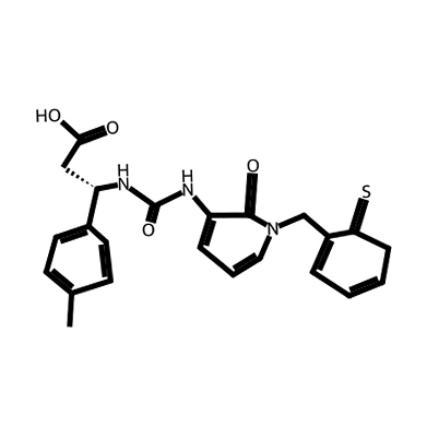 Cc1ccc([C@H](CC(=O)O)NC(=O)Nc2cccn(CC3=CC=CCC3=S)c2=O)cc1